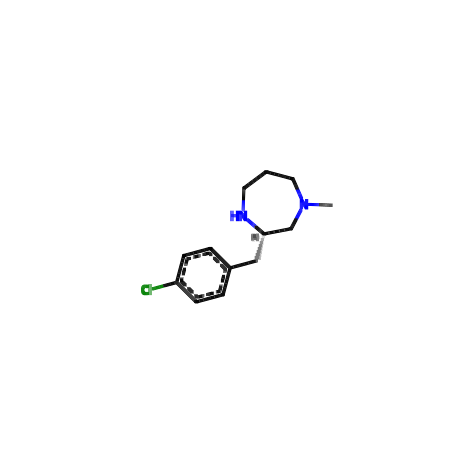 CN1CCCN[C@@H](Cc2ccc(Cl)cc2)C1